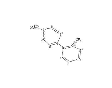 COc1ccc(-c2ccc[c]c2C(F)(F)F)cc1